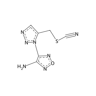 N#CSCc1cnnn1-c1nonc1N